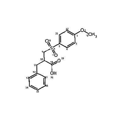 COc1ccc(S(=O)(=O)CC(Cc2ccccc2)C(=O)O)cc1